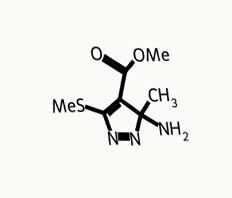 COC(=O)C1=C(SC)N=NC1(C)N